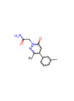 Cc1cccc(-c2cc(=O)n(CC(N)=O)nc2C(C)C)c1